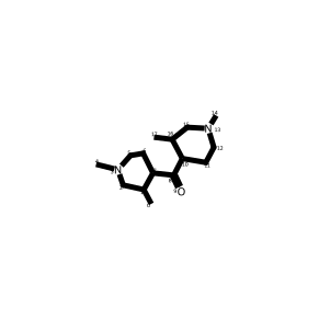 CC1CN(C)CCC1C(=O)C1CCN(C)CC1C